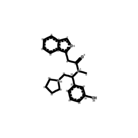 CN(C(=O)Cc1occ2ccccc12)C(CN1CCCC1)c1cccc(O)c1